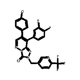 O=c1n(Cc2ccc(C(F)(F)F)nc2)nc2c(-c3ccc(F)c(F)c3)c(-c3ccc(Cl)cc3)cnn12